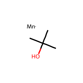 CC(C)(C)O.[Mn]